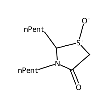 CCCCCC1N(CCCCC)C(=O)C[S+]1[O-]